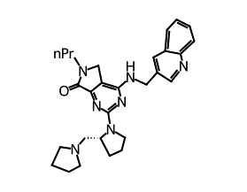 CCCN1Cc2c(NCc3cnc4ccccc4c3)nc(N3CCC[C@@H]3CN3CCCC3)nc2C1=O